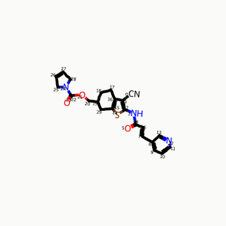 N#Cc1c(NC(=O)C=Cc2cccnc2)sc2c1CCC(COC(=O)N1CC=CC1)C2